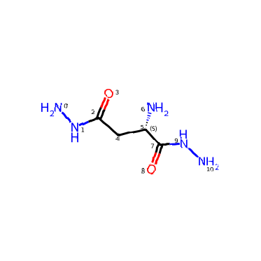 NNC(=O)C[C@H](N)C(=O)NN